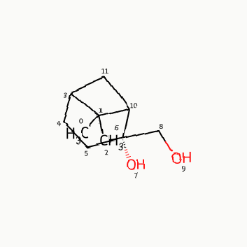 CC1(C)C2CC[C@](O)(CO)C1C2